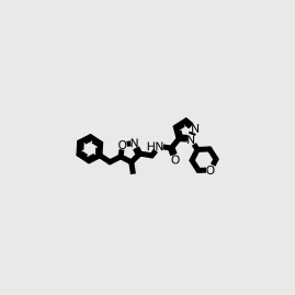 CC1C(CNC(=O)c2ccnn2C2CCOCC2)=NOC1Cc1ccccc1